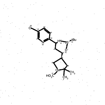 CC1(C)C[C@H](CCC(N[S+]([O-])C(C)(C)C)c2ccc(Cl)cn2)CN1C(=O)O